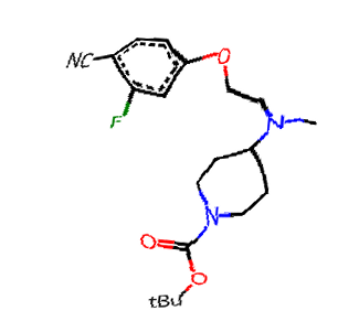 CN(CCOc1ccc(C#N)c(F)c1)C1CCN(C(=O)OC(C)(C)C)CC1